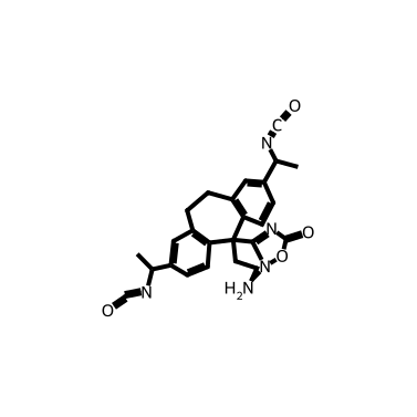 CC(N=C=O)c1ccc2c(c1)CCc1cc(C(C)N=C=O)ccc1C2(CCN)c1nc(=O)on1C